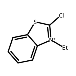 CC[n+]1c(Cl)sc2ccccc21